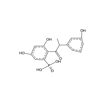 CC(C(=O)c1c(O)cc(O)cc1P(=O)(O)O)c1cccc(O)c1